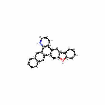 c1ccc2cc3c(cc2c1)c1cc2oc4ccccc4c2cc1c1cccnc13